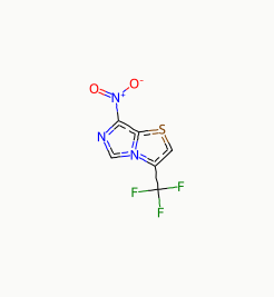 O=[N+]([O-])c1ncn2c(C(F)(F)F)csc12